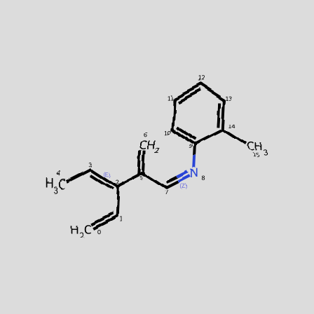 C=C/C(=C\C)C(=C)/C=N\c1ccccc1C